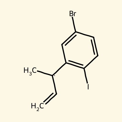 C=C[C](C)c1cc(Br)ccc1I